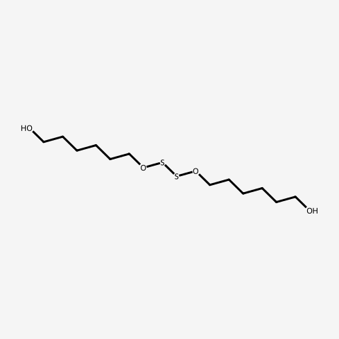 OCCCCCCOSSOCCCCCCO